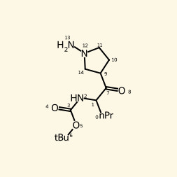 CCCC(NC(=O)OC(C)(C)C)C(=O)C1CCN(N)C1